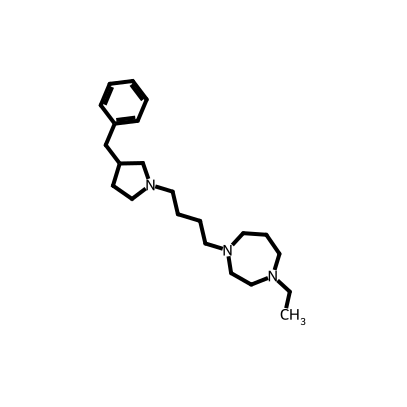 CCN1CCCN(CCCCN2CCC(Cc3ccccc3)C2)CC1